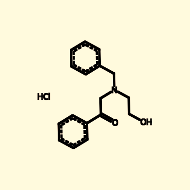 Cl.O=C(CN(CCO)Cc1ccccc1)c1ccccc1